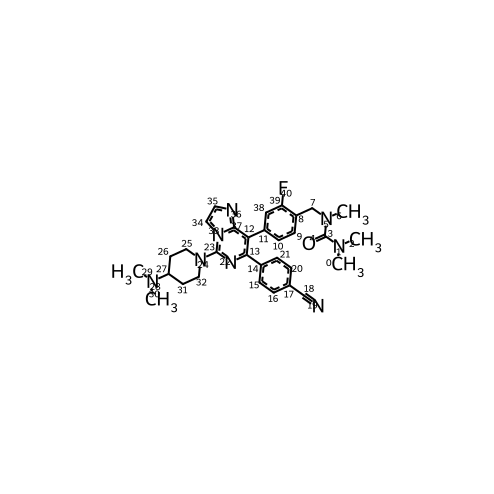 CN(C)C(=O)N(C)Cc1ccc(-c2c(-c3ccc(C#N)cc3)nc(N3CCC(N(C)C)CC3)n3ccnc23)cc1F